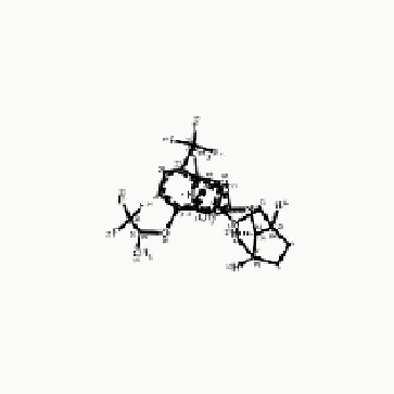 Cc1noc(N2C[C@H]3CC[C@@H](C2)[C@@H]3Nc2nc3c(O[C@@H](C)C(F)(F)F)ccc(C(F)(F)F)n3n2)n1